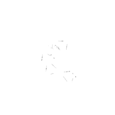 CCCCc1ccc2ccccc2n1.c1ccc(CCCc2ccccn2)cc1